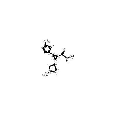 Cc1ccc([C@H]2[C@@H](C(=O)NO)[C@@H]2C2C=NN(C)C2)s1